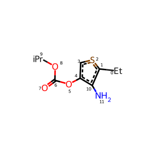 CCc1scc(OC(=O)OC(C)C)c1N